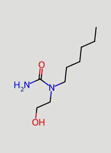 CCCCCCN(CCO)C(N)=O